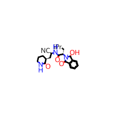 CC(C)C[C@@H](C(=O)N[C@H](C#N)C[C@@H]1CCCNC1=O)N1C(=O)c2ccccc2C1O